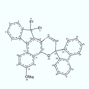 CCC1(CC)c2ccccc2-c2c1c1c(c3cc(OC)ccc23)OC(c2ccccc2)(c2ccccc2)C=C1